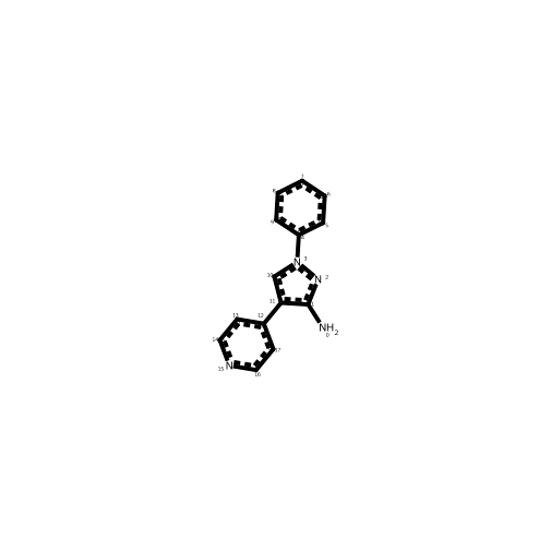 Nc1nn(-c2ccccc2)cc1-c1ccncc1